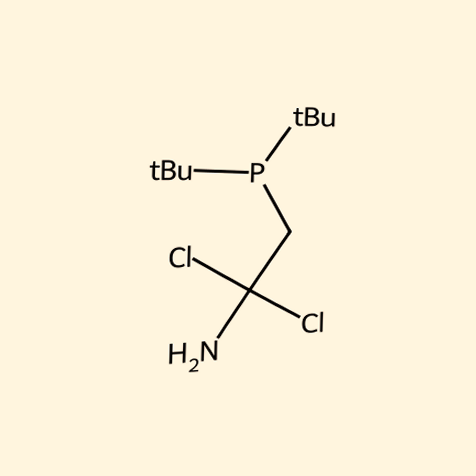 CC(C)(C)P(CC(N)(Cl)Cl)C(C)(C)C